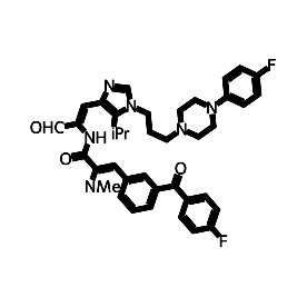 CN/C(=C\c1cccc(C(=O)c2ccc(F)cc2)c1)C(=O)N/C(C=O)=C\c1ncn(CCCN2CCN(c3ccc(F)cc3)CC2)c1C(C)C